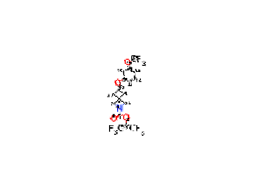 O=C(OC(C(F)(F)F)C(F)(F)F)N1CC2(CC(Oc3cccc(OC(F)(F)F)c3)C2)C1